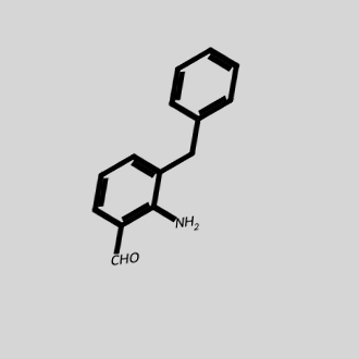 Nc1c(C=O)cccc1Cc1ccccc1